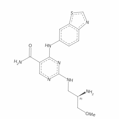 COC[C@H](N)CNc1ncc(C(N)=O)c(Nc2ccc3ncsc3c2)n1